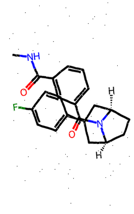 CNC(=O)c1cccc(C(=O)N2[C@@H]3CC[C@H]2C[C@@H](c2ccc(F)cc2)C3)c1